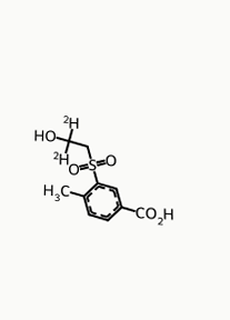 [2H]C([2H])(O)CS(=O)(=O)c1cc(C(=O)O)ccc1C